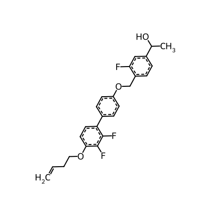 C=CCCOc1ccc(-c2ccc(OCc3ccc(C(C)O)cc3F)cc2)c(F)c1F